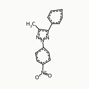 Cc1nn(-c2ccc([N+](=O)[O-])cc2)nc1-c1ccccc1